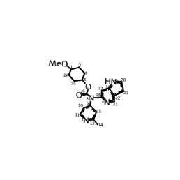 COC1CCC(OC(=O)N(c2ccnc(C)c2)c2cc3[nH]ccc3cn2)CC1